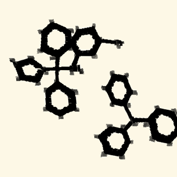 CC(C)c1cccc([SiH2]C(c2ccccc2)(c2ccccc2)n2ccnc2)c1.c1ccc(B(c2ccccc2)c2ccccc2)cc1